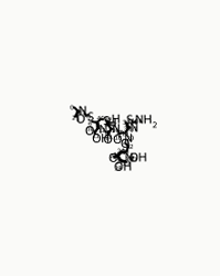 Cc1coc(SCC2=C(C(=O)O)N3C(=O)[C@@H](NC(=O)/C(=N\OCc4cc(=O)c(O)cn4O)c4csc(N)n4)[C@H]3SC2)n1